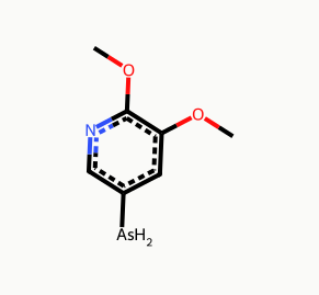 COc1cc([AsH2])cnc1OC